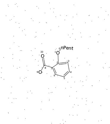 CCCCCOc1ccccc1C([O])=O